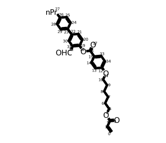 C=CC(=O)OCCCCCCOc1ccc(C(=O)Oc2ccc(-c3ccc(CCC)cc3)cc2C=O)cc1